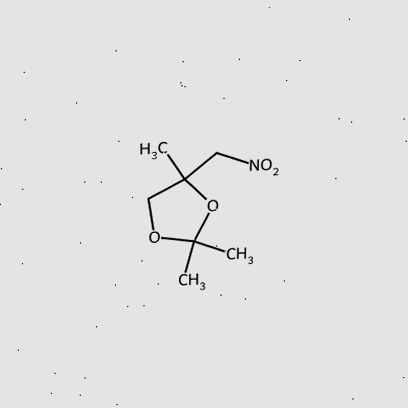 CC1(C[N+](=O)[O-])COC(C)(C)O1